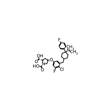 CN(C)C1(c2ccc(F)cc2)CCC(Cc2cc(O[C@H]3C[C@@H](C(=O)O)N(C(=O)O)C3)cc(F)c2Cl)CC1